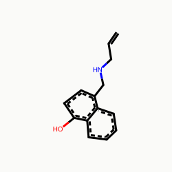 C=CCNCc1ccc(O)c2ccccc12